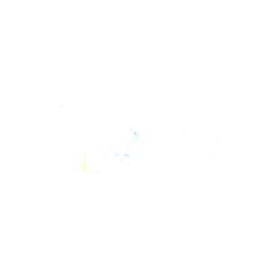 CCCC(CN(N)c1ccc2c(c1)CCCC2)c1ccsc1